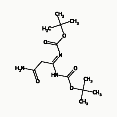 CC(C)(C)OC(=O)/N=C(\CC(N)=O)NC(=O)OC(C)(C)C